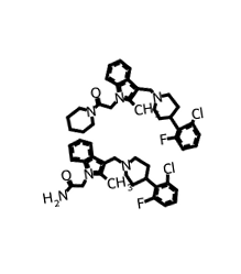 Cc1c(CN2CCC(c3c(F)cccc3Cl)CC2)c2ccccc2n1CC(=O)N1CCCCC1.Cc1c(CN2CCC(c3c(F)cccc3Cl)CC2)c2ccccc2n1CC(N)=O